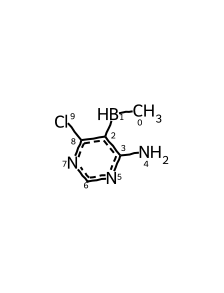 CBc1c(N)ncnc1Cl